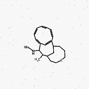 CC1C2CCCCCCC(C2)c2cccccccc(c2)C1NC(C)(C)C